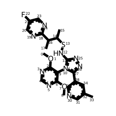 COc1ncnc(OC)c1-n1c(NSC(C)C(C)c2ncc(F)cn2)nnc1-c1cncc(C)c1